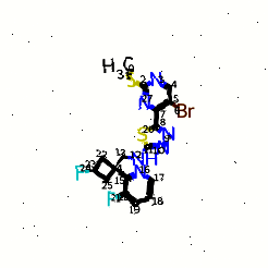 CSc1ncc(Br)c(-c2nnc(NC[C@]3(c4ncccc4F)C[C@H](F)C3)s2)n1